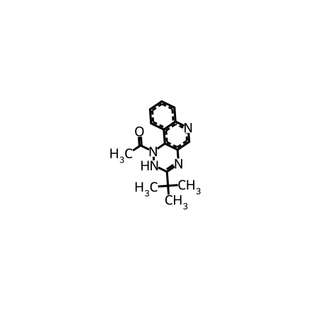 CC(=O)N1NC(C(C)(C)C)=Nc2cnc3ccccc3c21